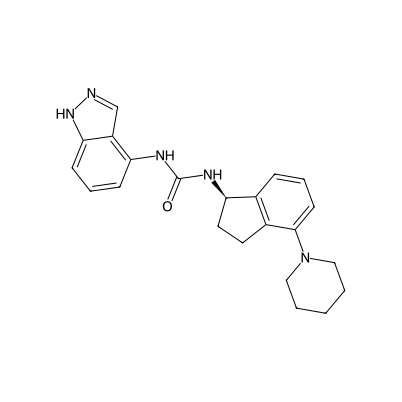 O=C(Nc1cccc2[nH]ncc12)N[C@@H]1CCc2c1cccc2N1CCCCC1